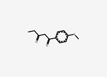 CCC(=O)CC(=O)c1ccc(SC)cc1